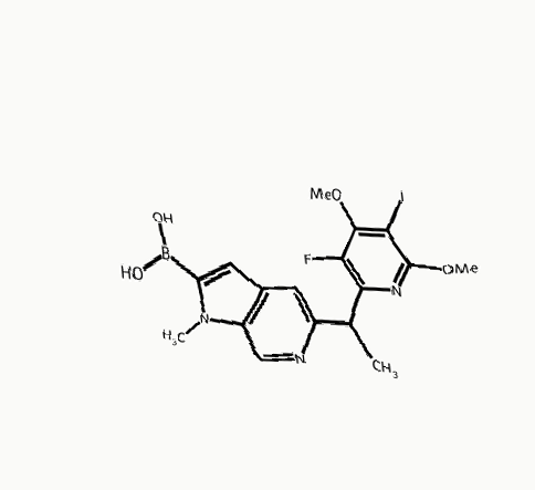 COc1nc(C(C)c2cc3cc(B(O)O)n(C)c3cn2)c(F)c(OC)c1I